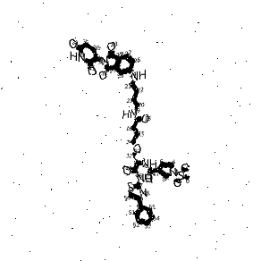 CS(=O)(=O)n1ccc(C(=O)N[C@@H](COCCCC(=O)NCCCCNc2ccc3c(c2)C(=O)N(C2CCC(=O)NC2=O)C3=O)C(=O)Nc2nc(-c3ccccc3)cs2)c1